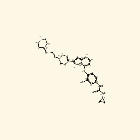 O=C(Nc1ccc(Oc2ccnc3cc(C4=CCN(CCCN5CCOCC5)CC4)sc23)c(F)c1)NC1CC1